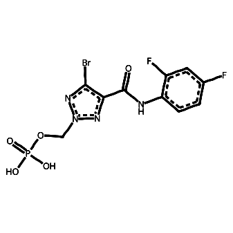 O=C(Nc1ccc(F)cc1F)c1nn(COP(=O)(O)O)nc1Br